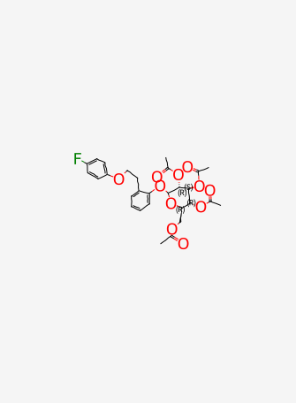 CC(=O)OC[C@H]1OC(Oc2ccccc2CCOc2ccc(F)cc2)[C@H](OC(C)=O)[C@@H](OC(C)=O)[C@@H]1OC(C)=O